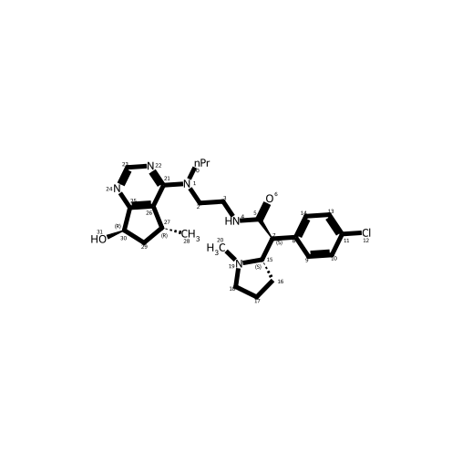 CCCN(CCNC(=O)[C@@H](c1ccc(Cl)cc1)[C@@H]1CCCN1C)c1ncnc2c1[C@H](C)C[C@H]2O